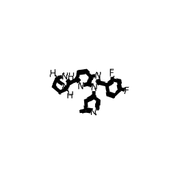 Cc1cc(-n2c(-c3ccc(F)cc3F)nc3ccc(N4C[C@H]5CC[C@@H]4CN5)nc32)ccn1